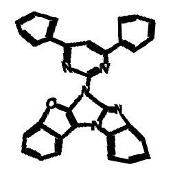 c1ccc(-c2cc(-c3ccccc3)nc(-n3c4oc5ccccc5c4n4c5ccccc5nc34)n2)cc1